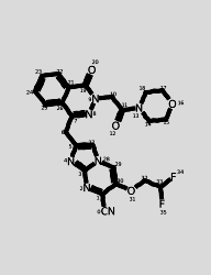 N#Cc1nc2nc(Cc3nn(CC(=O)N4CCOCC4)c(=O)c4ccccc34)cn2cc1OCC(F)F